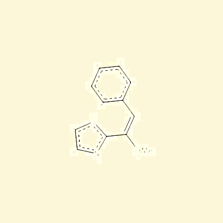 COC(=Cc1ccccc1)c1nccs1